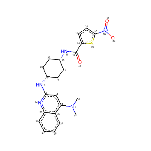 CN(C)c1cc(N[C@H]2CC[C@@H](NC(=O)c3ccc([N+](=O)[O-])s3)CC2)nc2ccccc12